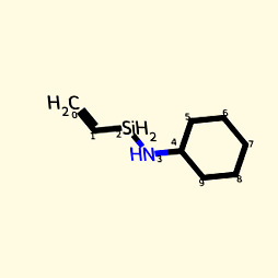 C=C[SiH2]NC1CCCCC1